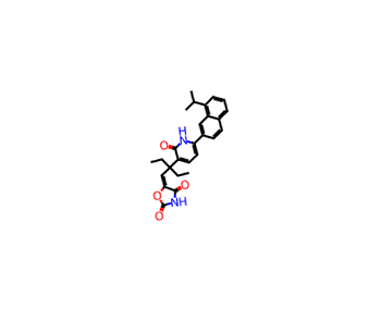 CCC(/C=C1/OC(=O)NC1=O)(CC)c1ccc(-c2ccc3cccc(C(C)C)c3c2)[nH]c1=O